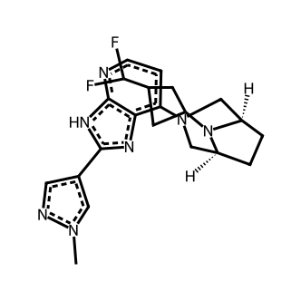 Cn1cc(-c2nc3c(N4C[C@H]5CC[C@@H](C4)N5C4CC(C(F)F)C4)ccnc3[nH]2)cn1